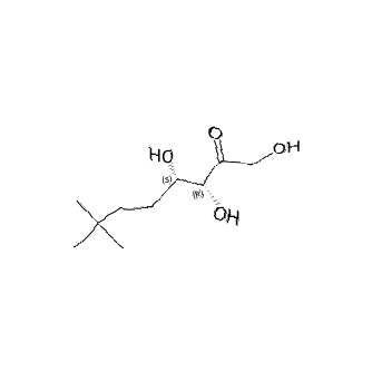 CC(C)(C)CC[C@H](O)[C@@H](O)C(=O)CO